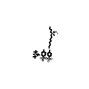 CC(C)(C)[P+](C)(C(C)(C)C)C(C)(C)C.CCCCCCCC[N+](C)(N)CCCC.Cc1ccc(S(=O)(=O)[O-])cc1.Cc1ccc(S(=O)(=O)[O-])cc1